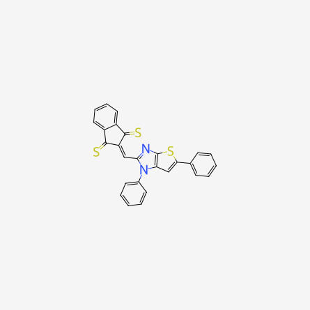 S=C1C(=Cc2nc3sc(-c4ccccc4)cc3n2-c2ccccc2)C(=S)c2ccccc21